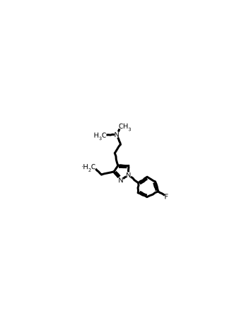 [CH2]Cc1nn(-c2ccc(F)cc2)cc1CCN(C)C